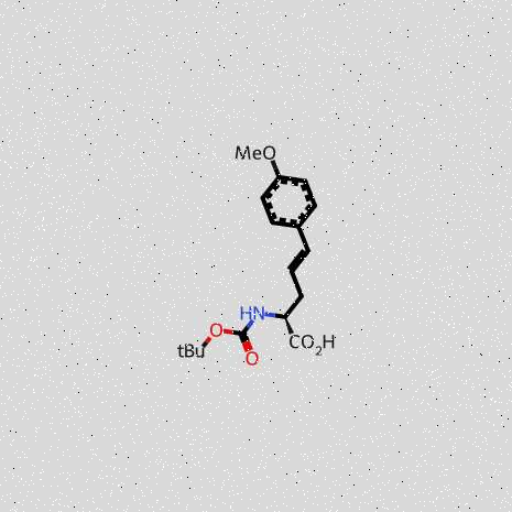 COc1ccc(/C=C/C[C@H](NC(=O)OC(C)(C)C)C(=O)O)cc1